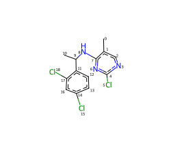 Cc1cnc(Cl)nc1NC(C)c1ccc(Cl)cc1Cl